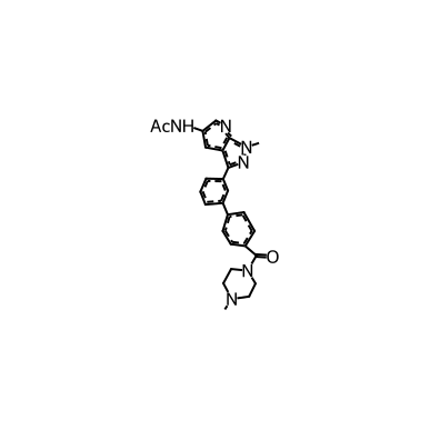 CC(=O)Nc1cnc2c(c1)c(-c1cccc(-c3ccc(C(=O)N4CCN(C)CC4)cc3)c1)nn2C